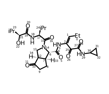 CC/C=C(/NC(=O)[C@@H]1[C@H]2CCC(=O)[C@H]2CN1C(=O)[C@@H](NC(=O)[C@@H](O)C(C)C)C(C)C)C(=O)C(=O)NC1CC1